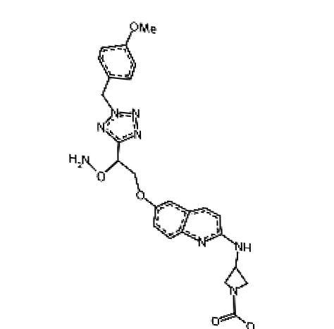 COc1ccc(Cn2nnc(C(COc3ccc4nc(NC5CN(C(=O)OC(C)(C)C)C5)ccc4c3)ON)n2)cc1